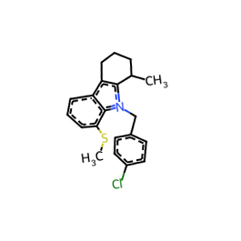 CSc1cccc2c3c(n(Cc4ccc(Cl)cc4)c12)C(C)CCC3